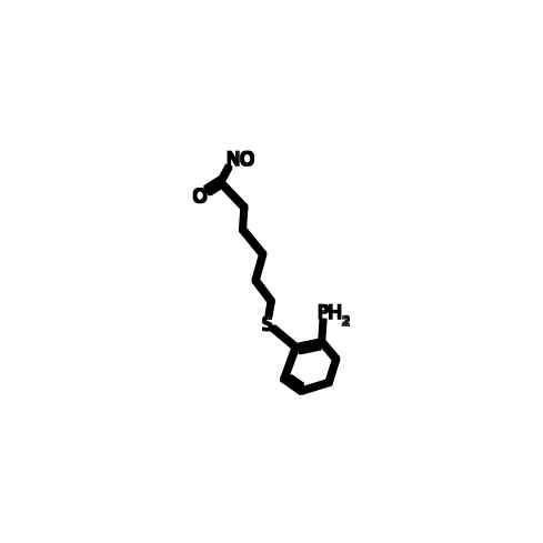 O=NC(=O)CCCCCSC1=C(P)CCC=C1